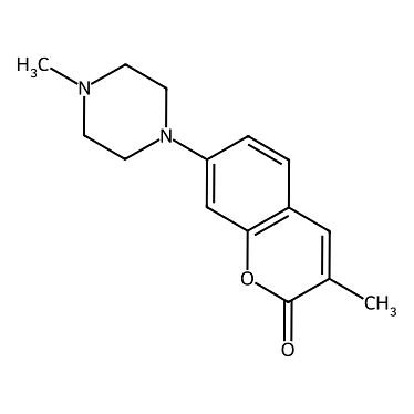 Cc1cc2ccc(N3CCN(C)CC3)cc2oc1=O